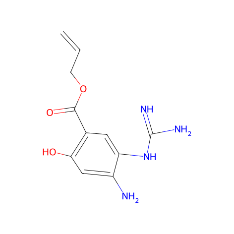 C=CCOC(=O)c1cc(NC(=N)N)c(N)cc1O